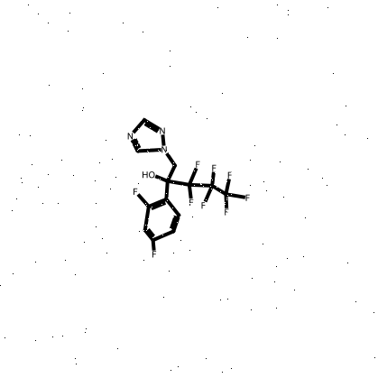 OC(Cn1cncn1)(c1ccc(F)cc1F)C(F)(F)C(F)(F)C(F)(F)F